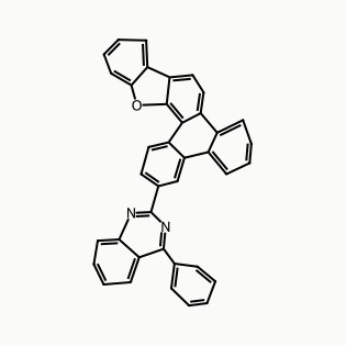 c1ccc(-c2nc(-c3ccc4c(c3)c3ccccc3c3ccc5c6ccccc6oc5c34)nc3ccccc23)cc1